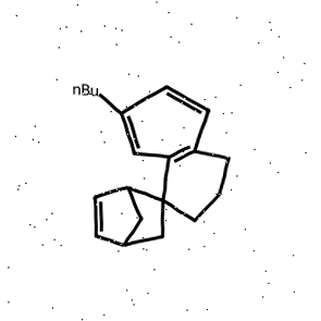 CCCCc1ccc2c(c1)C1(CCC2)CC2C=CC1C2